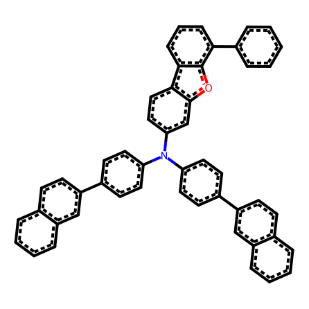 c1ccc(-c2cccc3c2oc2cc(N(c4ccc(-c5ccc6ccccc6c5)cc4)c4ccc(-c5ccc6ccccc6c5)cc4)ccc23)cc1